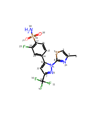 Cc1csc(-n2nc(C(F)(F)F)cc2-c2ccc(S(N)(=O)=O)c(F)c2)n1